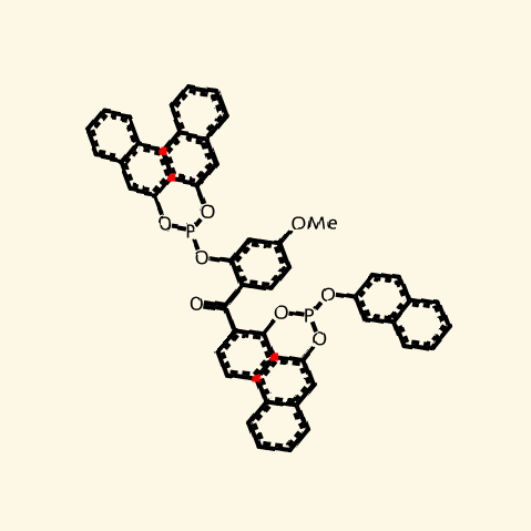 COc1ccc(C(=O)c2ccccc2OP(Oc2ccc3ccccc3c2)Oc2ccc3ccccc3c2)c(OP(Oc2ccc3ccccc3c2)Oc2ccc3ccccc3c2)c1